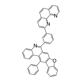 c1ccc(-c2c3c(cc4c(-c5cccc(-c6ccc7ccc8cccnc8c7n6)c5)nc5ccccc5c24)oc2ccccc23)cc1